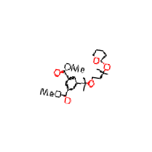 COC(=O)c1cc(C(=O)OC)cc(C(C)(C)OCCC(C)(C)OC2CCCCO2)c1